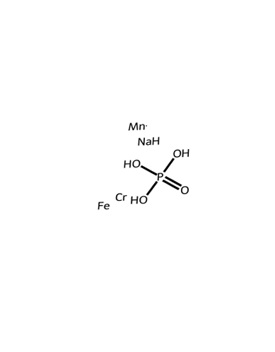 O=P(O)(O)O.[Cr].[Fe].[Mn].[NaH]